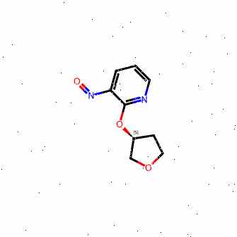 O=Nc1cccnc1O[C@H]1CCOC1